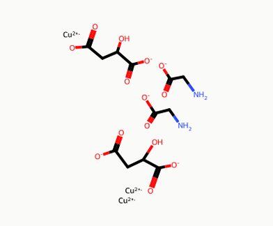 NCC(=O)[O-].NCC(=O)[O-].O=C([O-])CC(O)C(=O)[O-].O=C([O-])CC(O)C(=O)[O-].[Cu+2].[Cu+2].[Cu+2]